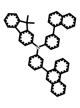 CC1(C)c2ccccc2-c2ccc(N(c3cccc(-c4cccc5ccccc45)c3)c3cccc(-c4cc5ccccc5c5ccccc45)c3)cc21